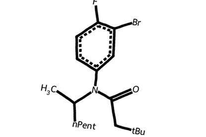 CCCCCC(C)N(C(=O)CC(C)(C)C)c1ccc(F)c(Br)c1